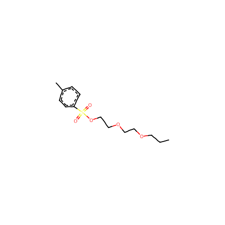 CCCOCCOCCOS(=O)(=O)c1ccc(C)cc1